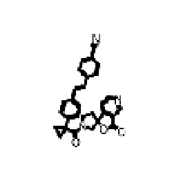 N#Cc1ccc(C=Cc2ccc(C3(C(=O)N4CCC5(C4)OC(=O)c4cnccc45)CC3)cc2)cc1